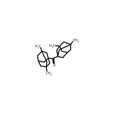 CC12CC3CC(C)(C1)CC(C(=O)C14CC5CC(C)(CC(C)(C5)C1)C4)(C3)C2